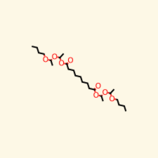 CCCCOC(C)OC(C)OC(=O)CCCCCCCC(=O)OC(C)OC(C)OCCCC